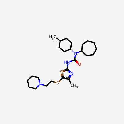 Cc1nc(NC(=O)N(C2CCCCCC2)[C@H]2CC[C@H](C)CC2)sc1SCCN1CCCCC1